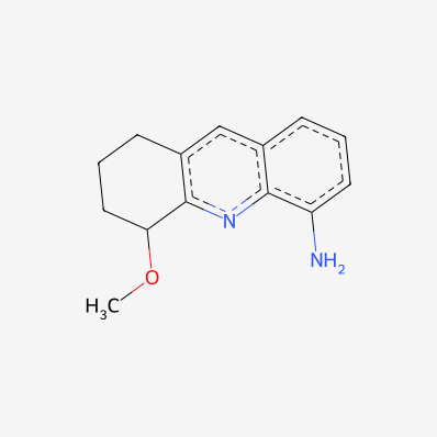 COC1CCCc2cc3cccc(N)c3nc21